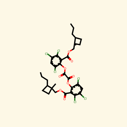 CCCC1CCC1(C)COC(=O)c1c(Cl)c(Cl)cc(Cl)c1OC(=O)C(=O)Oc1c(Cl)cc(Cl)c(Cl)c1C(=O)OCC1(C)CCC1CCC